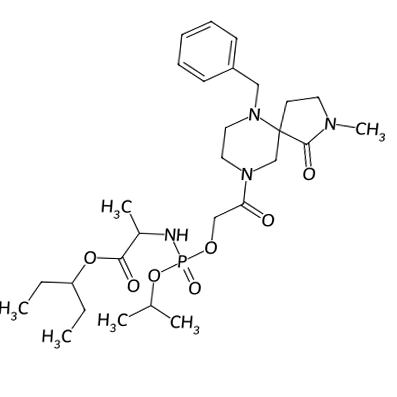 CCC(CC)OC(=O)C(C)NP(=O)(OCC(=O)N1CCN(Cc2ccccc2)C2(CCN(C)C2=O)C1)OC(C)C